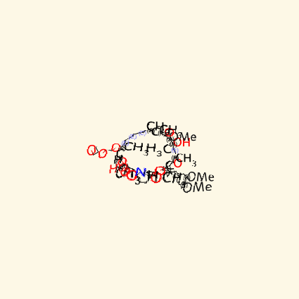 CO[C@@H]1CC[C@@H](C[C@@H](C)[C@@H]2CC(=O)[C@H](C)/C=C(\C)[C@@H](O)[C@@H](OC)C(=O)[C@H](C)C[C@H](C)/C=C/C=C/C=C(\C)[C@H](OCCOC3COC3)C[C@@H]3CC[C@@H](C)[C@@](O)(O3)C(=O)C(=O)N3CCCC[C@H]3C(=O)O2)C[C@H]1OC